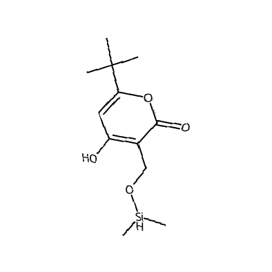 C[SiH](C)OCc1c(O)cc(C(C)(C)C)oc1=O